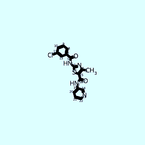 Cc1nc(NC(=O)c2cccc(Cl)c2)sc1C(=O)Nc1cccnc1